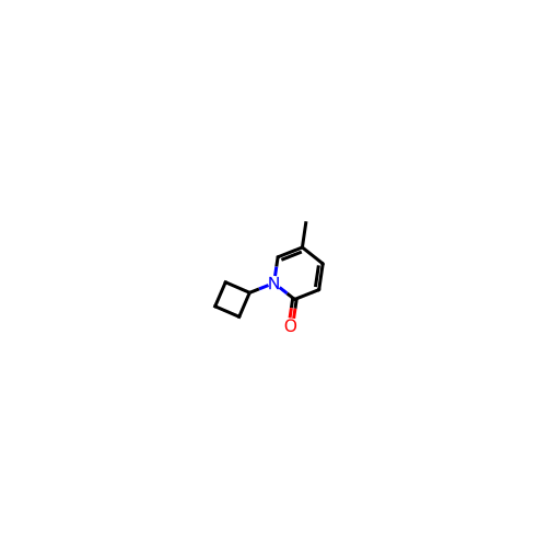 Cc1ccc(=O)n(C2CCC2)c1